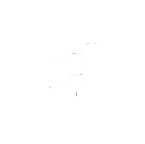 CCc1nc2cc(CCl)ccc2n1C.Cl